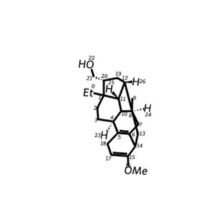 CCC12CC[C@@H]3C4=C5C[C@H](C)C3[C@H]1[C@@H](CC5C(OC)=CC4)C[C@H]2CO